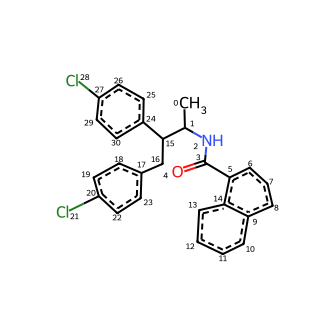 CC(NC(=O)c1cccc2ccccc12)C(Cc1ccc(Cl)cc1)c1ccc(Cl)cc1